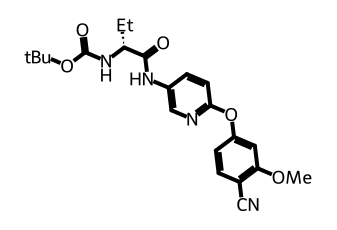 CC[C@@H](NC(=O)OC(C)(C)C)C(=O)Nc1ccc(Oc2ccc(C#N)c(OC)c2)nc1